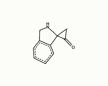 O=C1[CH]C12NCc1ccccc12